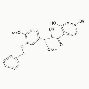 COc1ccc(C(OC)C(O)C(=O)c2ccc(O)cc2O)cc1OCc1ccccc1